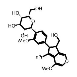 [CH2]CCC1=C2C(OC)=COC=C2C(CO)C1c1ccc([C@@H]2O[C@H](CO)[C@@H](O)[C@H](O)[C@H]2O)c(OC)c1